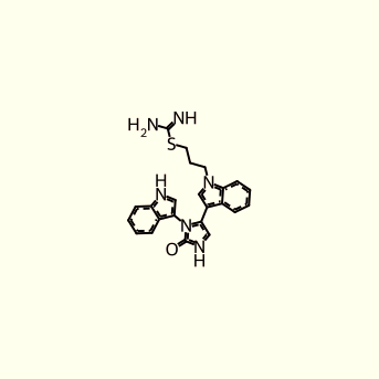 N=C(N)SCCCn1cc(-c2c[nH]c(=O)n2-c2c[nH]c3ccccc23)c2ccccc21